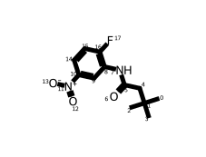 CC(C)(C)CC(=O)Nc1cc([N+](=O)[O-])ccc1F